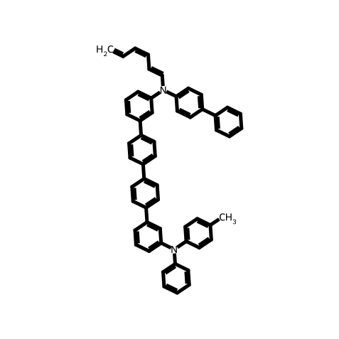 C=C/C=C\C=C\N(c1ccc(-c2ccccc2)cc1)c1cccc(-c2ccc(-c3ccc(-c4cccc(N(c5ccccc5)c5ccc(C)cc5)c4)cc3)cc2)c1